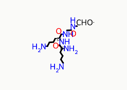 NCCCC[C@H](NC(=O)[C@@H](N)CCCCN)C(=O)NCC(=O)NC[C]=O